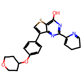 Oc1nc(C2=CCCC=N2)nc2c(-c3ccc(OC4CCOCC4)cc3)csc12